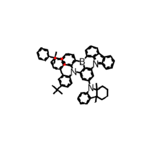 CC(C)(C)c1ccc(N2c3cc(C(C)(C)c4ccccc4)ccc3B3c4c2cc(N2c5ccccc5C5(C)CCCCC25C)cc4-n2c4ccccc4c4cccc3c42)c(-c2ccccc2)c1